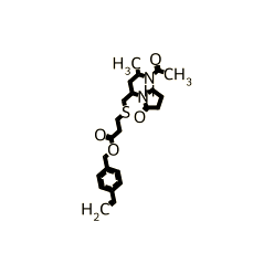 C=Cc1ccc(COC(=O)CCSCC(CC(C)NC(C)=O)N2CCCC2=O)cc1